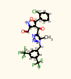 Cc1c(C(=O)c2c(C=O)noc2-c2ccccc2Cl)nnn1Cc1cc(C(F)(F)F)cc(C(F)(F)F)c1